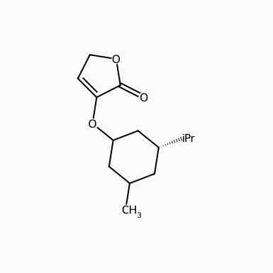 CC1CC(OC2=CCOC2=O)C[C@H](C(C)C)C1